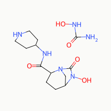 NC(=O)NO.O=C(NC1CCNCC1)C1CCC2CN1C(=O)N2O